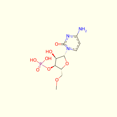 COC[C@H]1O[C@@H](n2ccc(N)nc2=O)[C@H](O)[C@@H]1OP(=O)(O)O